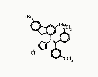 CC(C)(C)c1ccc2c(c1)-c1cc(C(C)(C)C)c[c]([Zr+2]([C]3=CC=CC3)=[C](c3cccc(C(Cl)(Cl)Cl)c3)c3cccc(C(Cl)(Cl)Cl)c3)c1C2.[Cl-].[Cl-]